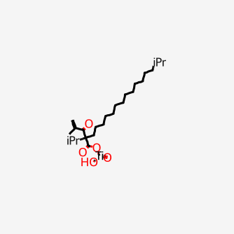 C=C(C)C(=O)C(CCCCCCCCCCCCCC(C)C)(C(=O)[O][Ti](=[O])[OH])C(C)C